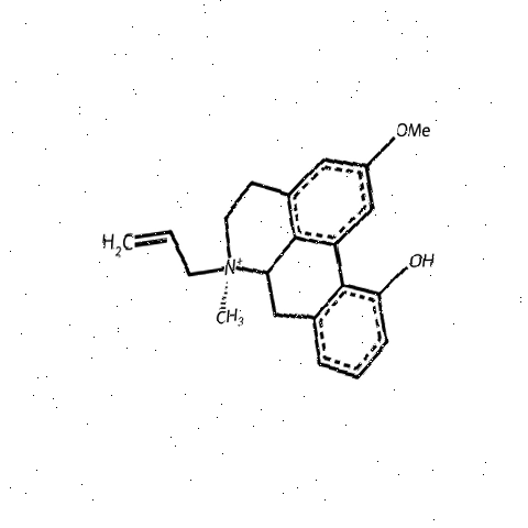 C=CC[N@@+]1(C)CCc2cc(OC)cc3c2C1Cc1cccc(O)c1-3